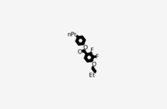 CC/C=C/Oc1ccc(C(=O)Oc2ccc(CCC)cc2)c(F)c1F